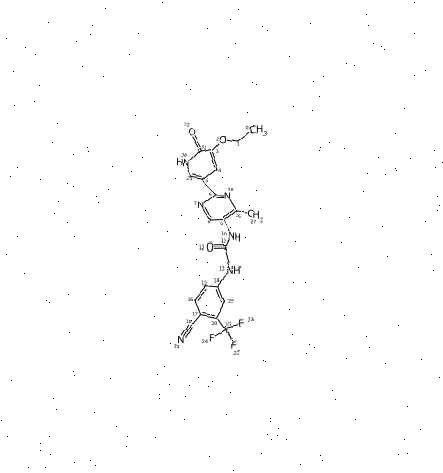 CCOc1cc(-c2ncc(NC(=O)Nc3ccc(C#N)c(C(F)(F)F)c3)c(C)n2)c[nH]c1=O